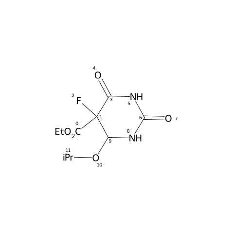 CCOC(=O)C1(F)C(=O)NC(=O)NC1OC(C)C